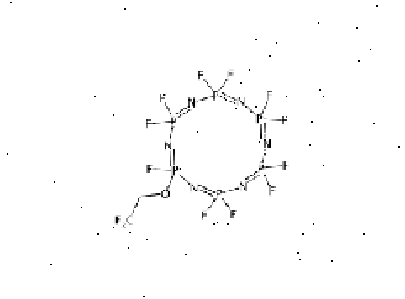 FC(F)(F)COP1(F)=NP(F)(F)=NP(F)(F)=NP(F)(F)=NP(F)(F)=NP(F)(F)=N1